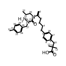 C=C(CCCCc1ccc(CC(C)(C)C(=O)O)cc1)N(CCC)C(=O)N(N)Cc1ccc(C)cc1